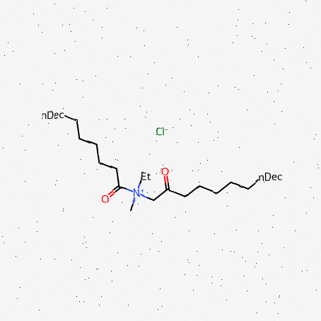 CCCCCCCCCCCCCCCC(=O)C[N+](C)(CC)C(=O)CCCCCCCCCCCCCCC.[Cl-]